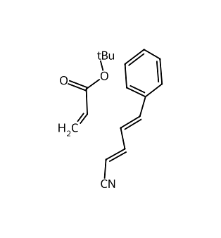 C=CC(=O)OC(C)(C)C.N#CC=CC=Cc1ccccc1